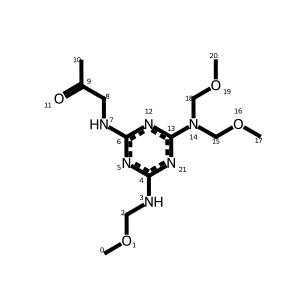 COCNc1nc(NCC(C)=O)nc(N(COC)COC)n1